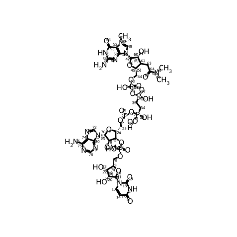 CO[C@@H]1[C@H](OP(=O)(O)OC[C@H]2O[C@@H](n3ccc(=O)[nH]c3=O)[C@H](O)[C@@H]2O)[C@@H](COP(=O)(O)OP(=O)(O)CCP(=O)(O)OP(=O)(O)OC[C@H]2O[C@@H](n3c[n+](C)c4c(=O)[nH]c(N)nc43)[C@H](O)C2CC(=O)N(C)C)O[C@H]1n1cnc2c(N)ncnc21